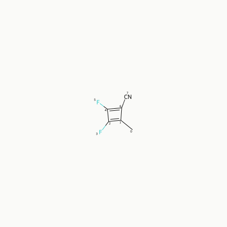 CC1=C(F)C(F)=C1C#N